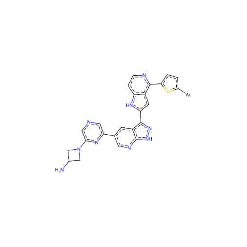 CC(=O)c1ccc(-c2nccc3[nH]c(-c4n[nH]c5ncc(-c6cncc(N7CC(N)C7)n6)cc45)cc23)s1